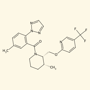 Cc1ccc(-n2nccn2)c(C(=O)N2CCC[C@@H](C)[C@H]2COc2ccc(C(F)(F)F)cn2)c1